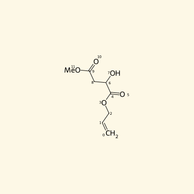 C=CCOC(=O)C(O)CC(=O)OC